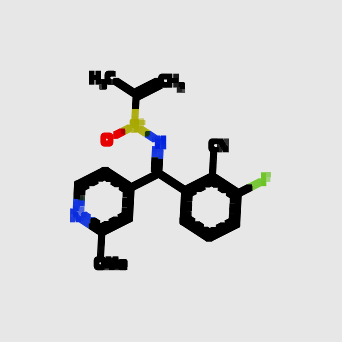 C=C(C)[S+]([O-])/N=C(\c1ccnc(OC)c1)c1cccc(F)c1C#N